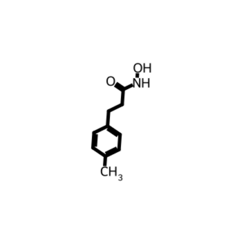 Cc1ccc(CCC(=O)NO)cc1